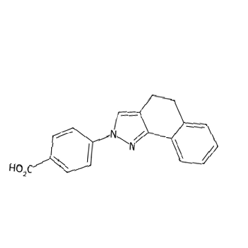 O=C(O)c1ccc(-n2cc3c(n2)-c2ccccc2CC3)cc1